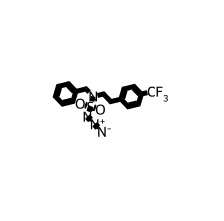 [N-]=[N+]=NS(=O)(=O)N(CCc1ccc(C(F)(F)F)cc1)Cc1ccccc1